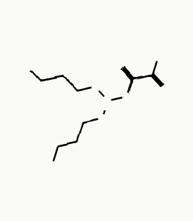 C=C(C)C(=O)O[SiH](OCCCC)OCCCC